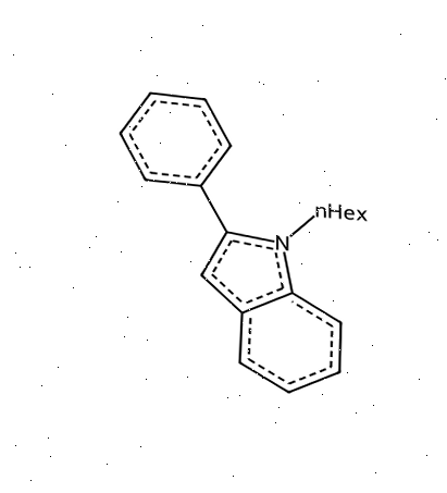 CCCCCCn1c(-c2ccccc2)cc2ccccc21